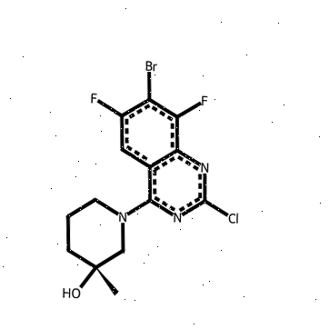 C[C@@]1(O)CCCN(c2nc(Cl)nc3c(F)c(Br)c(F)cc23)C1